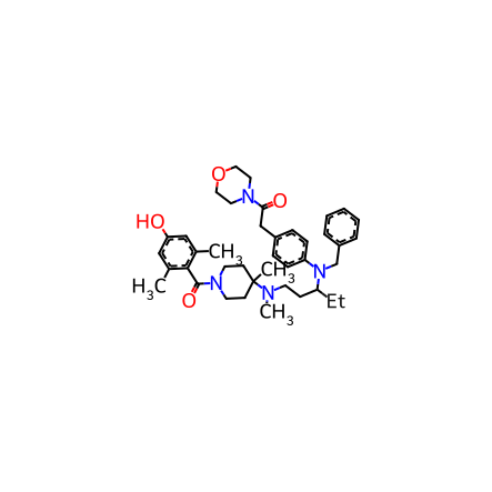 CCC(CCN(C)C1(C)CCN(C(=O)c2c(C)cc(O)cc2C)CC1)N(Cc1ccccc1)c1ccc(CC(=O)N2CCOCC2)cc1